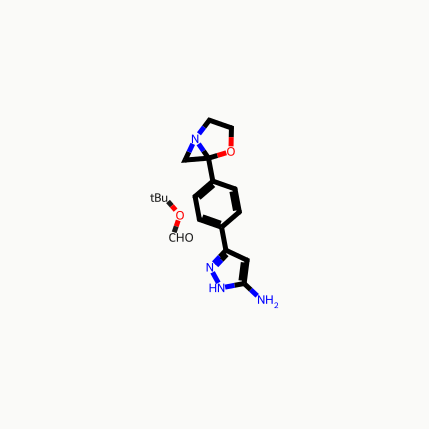 CC(C)(C)OC=O.Nc1cc(-c2ccc(C34CN3CCO4)cc2)n[nH]1